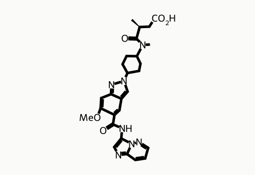 COc1cc2nn(C3CCC(N(C)C(=O)[C@@H](C)CC(=O)O)CC3)cc2cc1C(=O)Nc1cnc2cccnn12